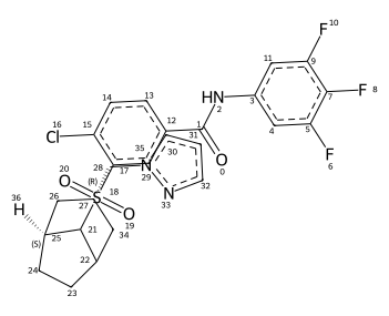 O=C(Nc1cc(F)c(F)c(F)c1)c1ccc(Cl)c(S(=O)(=O)C2C3CC[C@H]2C[C@H](Cn2cccn2)C3)c1